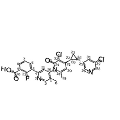 Cc1cnc(-c2cccc(C(=O)O)c2F)cc1-n1c(C)cc([C@H]2C[C@@H]2c2cncc(Cl)c2)c(Cl)c1=O